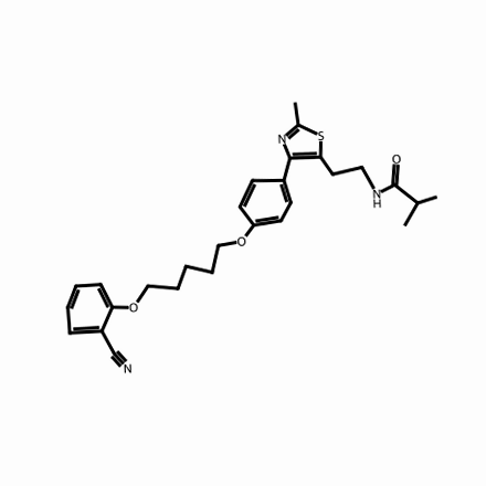 Cc1nc(-c2ccc(OCCCCCOc3ccccc3C#N)cc2)c(CCNC(=O)C(C)C)s1